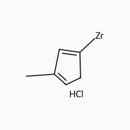 CC1=CC[C]([Zr])=C1.Cl